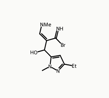 CCc1cc(C(O)/C(=C/NC)C(=N)Br)n(C)n1